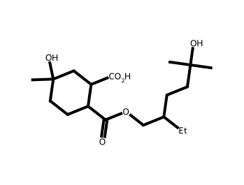 CCC(CCC(C)(C)O)COC(=O)C1CCC(C)(O)CC1C(=O)O